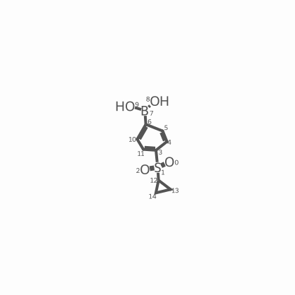 O=S(=O)(c1ccc(B(O)O)cc1)C1CC1